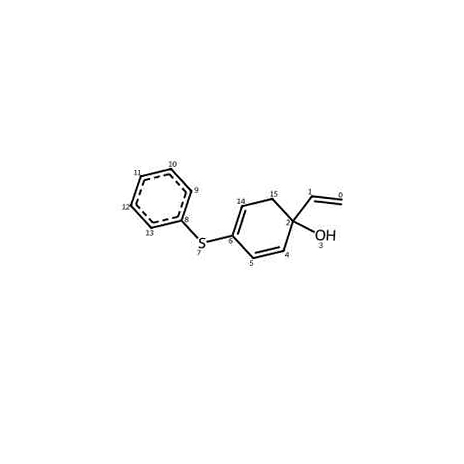 C=CC1(O)C=CC(Sc2ccccc2)=CC1